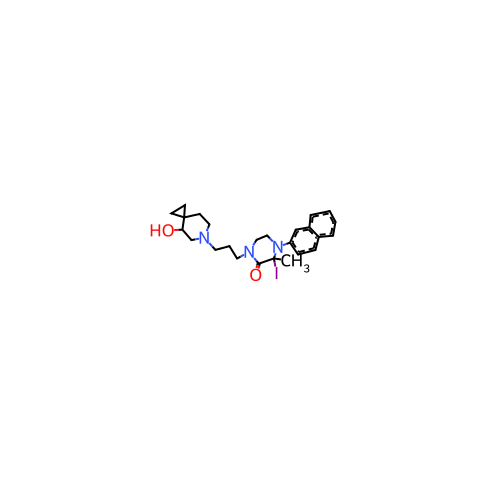 CC1(I)C(=O)N(CCCN2CCC3(CC3)C(O)C2)CCN1c1ccc2ccccc2c1